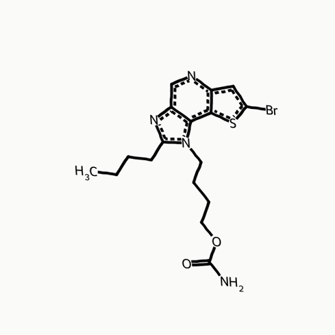 CCCCc1nc2cnc3cc(Br)sc3c2n1CCCCOC(N)=O